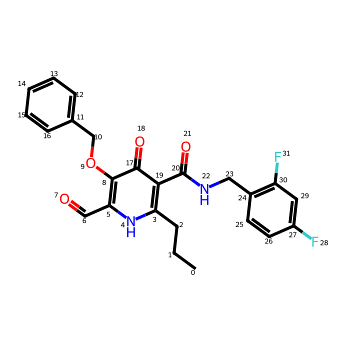 CCCc1[nH]c(C=O)c(OCc2ccccc2)c(=O)c1C(=O)NCc1ccc(F)cc1F